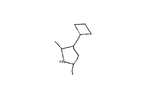 CC1CC(C2CCC2)C(C)N1